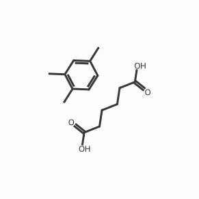 Cc1ccc(C)c(C)c1.O=C(O)CCCCC(=O)O